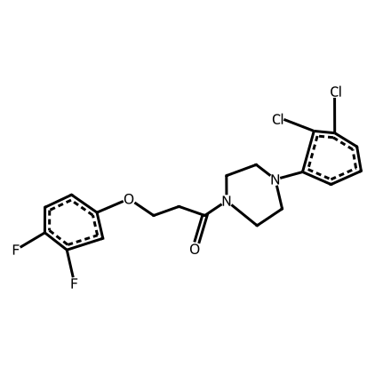 O=C(CCOc1ccc(F)c(F)c1)N1CCN(c2cccc(Cl)c2Cl)CC1